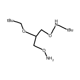 CC(C)(C)COC(CON)CONC(C)(C)C